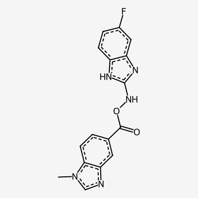 Cn1cnc2cc(C(=O)ONc3nc4cc(F)ccc4[nH]3)ccc21